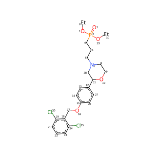 CCOP(=O)(CCCN1CCOC(c2ccc(OCc3c(Cl)cccc3Cl)cc2)C1)OCC